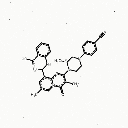 Cc1cc(C(C)Nc2ccccc2C(=O)O)c2nc(N3CCN(c4ccc(C#N)cc4)C[C@H]3C)c(C)c(=O)n2c1